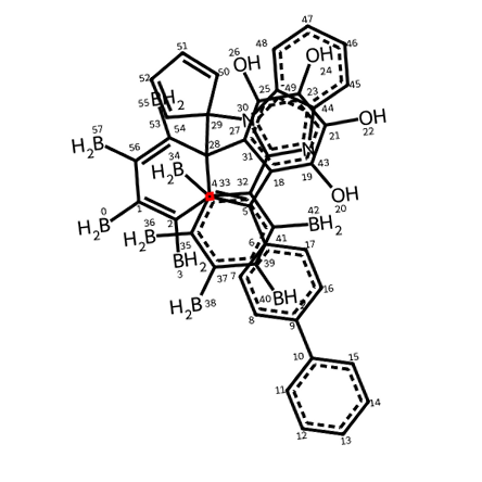 BC1=C(B)C2=C(c3ccc(-c4ccccc4)cc3)c3c(O)c(O)c(O)c(O)c3C2(C2(n3c(-c4c(B)c(B)c(B)c(B)c4B)nc4ccccc43)C=CC=C2)C(B)=C1B